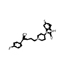 O=C(CCCN1CCC(n2c(=O)[nH]c3ccc(F)cc32)CC1)c1ccc(F)cc1